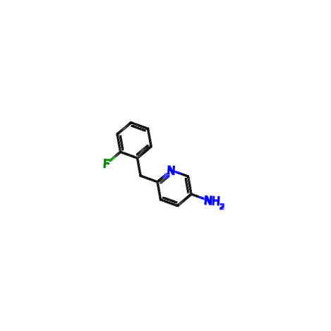 Nc1ccc(Cc2ccccc2F)nc1